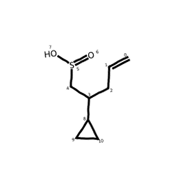 C=CCC(CS(=O)O)C1CC1